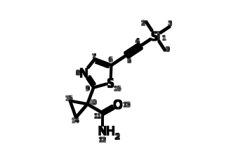 C[Si](C)(C)C#Cc1cnc(C2(C(N)=O)CC2)s1